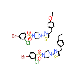 CCOc1ccc(Cc2csc(N3CCN(S(=O)(=O)c4ccc(Br)cc4Cl)CC3)n2)cc1.CCc1ccc(Cc2csc(N3CCN(S(=O)(=O)c4ccc(Br)cc4Cl)CC3)n2)cc1